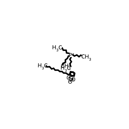 CCCCCCCCCCCCc1ccccc1S(=O)(=O)[O-].CCCCCC[P+](CCCCCC)(CCCCCC)CCCCCC